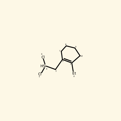 CCC1=C(C[SiH](Cl)Cl)CCCC1